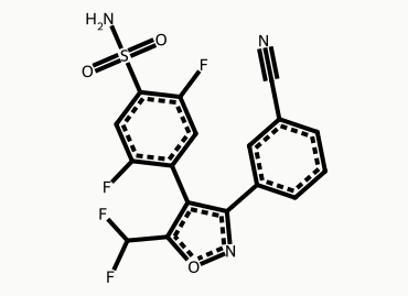 N#Cc1cccc(-c2noc(C(F)F)c2-c2cc(F)c(S(N)(=O)=O)cc2F)c1